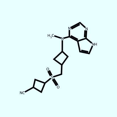 CN(c1ncnc2[nH]ccc12)C1CC(CS(=O)(=O)C2CC(C#N)C2)C1